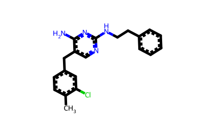 Cc1ccc(Cc2cnc(NCCc3ccccc3)nc2N)cc1Cl